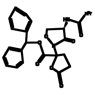 CCCC(=O)N[C@H]1CON(C2(C(=O)OC(c3ccccc3)c3ccccc3)CCC(=O)O2)C1=O